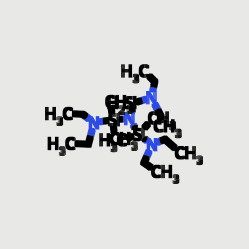 CCN(CC)[SiH2]N([Si](C)(C)N(CC)CC)[Si](C)(C)N(CC)CC